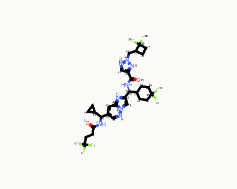 O=C(CCC(F)(F)F)NC(c1cnn2cc([C@@H](NC(=O)c3cnn(CC4CCC4(F)F)n3)C3CCC(F)(F)CC3)nc2c1)C1CC1